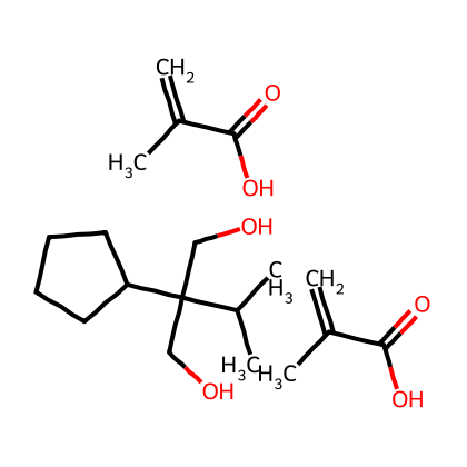 C=C(C)C(=O)O.C=C(C)C(=O)O.CC(C)C(CO)(CO)C1CCCC1